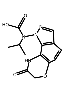 CC(C)N(C(=O)O)n1ncc2ccc3c(c21)NC(=O)CO3